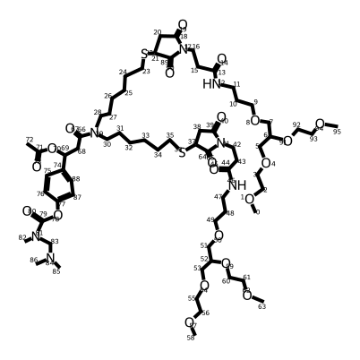 COCCOCC(COCCCNC(=O)CCN1C(=O)CC(SCCCCCCN(CCCCCCSC2CC(=O)N(CCC(=O)NCCCOCC(COCCOC)OCCOC)C2=O)C(=O)CC(OC(C)=O)c2ccc(OC(=O)N(C)CN(C)C)cc2)C1=O)OCCOC